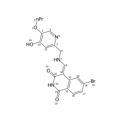 CCCOc1cnc(CN/C=C2\C(=O)NC(=O)c3ccc(Br)cc32)cc1O